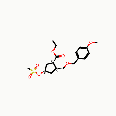 CCOC(=O)[C@@H]1C[C@H](OS(C)(=O)=O)C[C@H]1COCc1ccc(OC)cc1